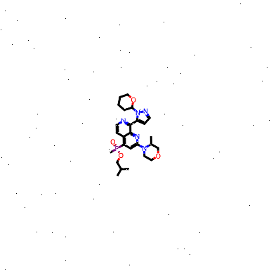 CC(C)COP(C)(=O)c1cc(N2CCOCC2C)nc2c(-c3ccnn3C3CCCCO3)nccc12